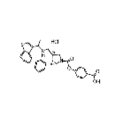 CC(NC[C@H]1CN(C(=O)Oc2ccc(C(=O)O)cc2)C[C@@H]1c1ccccc1)c1csc2ccccc12.Cl